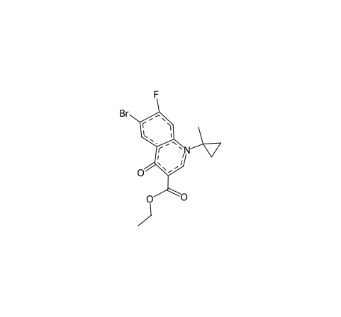 CCOC(=O)c1cn(C2(C)CC2)c2cc(F)c(Br)cc2c1=O